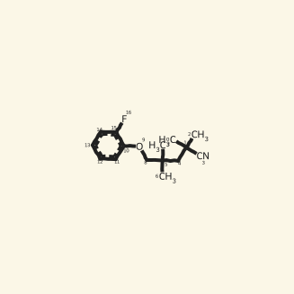 CC(C)(C#N)CC(C)(C)COc1ccccc1F